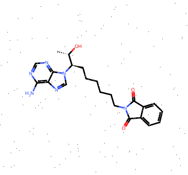 C[C@H](O)[C@@H](CCCCCCN1C(=O)c2ccccc2C1=O)n1cnc2c(N)ncnc21